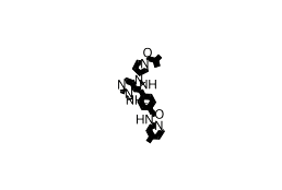 C=C(C)C(=O)N1CC[C@@H](N2NC(c3ccc(C(=O)Nc4cc(C)ccn4)cc3)=C3C2=CN=CN3N)C1